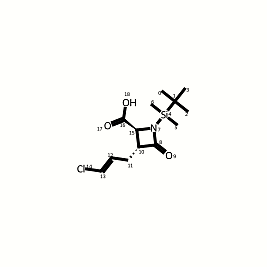 CC(C)(C)[Si](C)(C)N1C(=O)[C@H](CC=CCl)[C@H]1C(=O)O